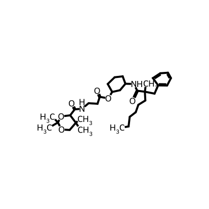 CCCCCCC(C)(Cc1ccccc1)C(=O)NC1CCCC(OC(=O)CCNC(=O)C2OC(C)(C)OCC2(C)C)C1